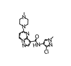 CN1CCN(c2ccn3ncc(C(=O)Nc4cn(C)nc4Cl)c3n2)CC1